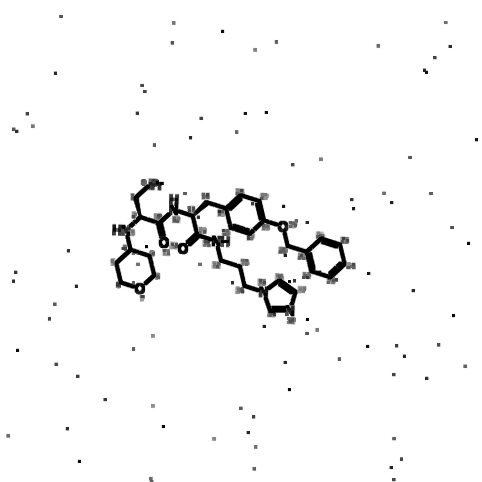 CC(C)C[C@H](NC1CCOCC1)C(=O)N[C@@H](Cc1ccc(OCc2ccccc2)cc1)C(=O)NCCCn1ccnc1